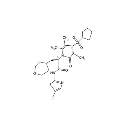 Cc1c(S(=O)(=O)C2CCCC2)c(C)c(=O)n([C@H](CC2CCOCC2)C(=O)Nc2ncc(Cl)s2)c1C